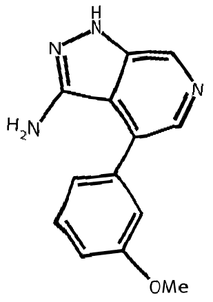 COc1cccc(-c2cncc3[nH]nc(N)c23)c1